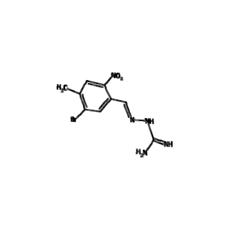 Cc1cc([N+](=O)[O-])c(C=NNC(=N)N)cc1Br